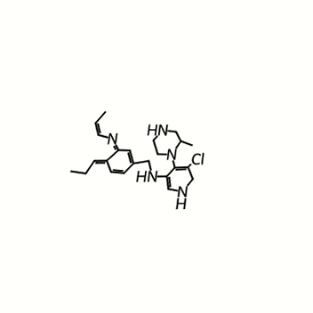 C\C=C/N=C1/C=C(CNC2=CNCC(Cl)=C2N2CCNCC2C)C=C/C1=C\CC